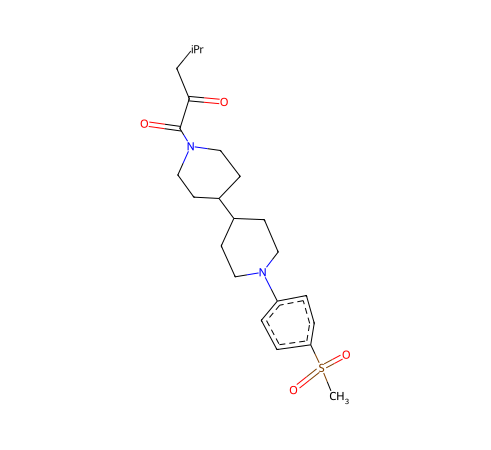 CC(C)CC(=O)C(=O)N1CCC(C2CCN(c3ccc(S(C)(=O)=O)cc3)CC2)CC1